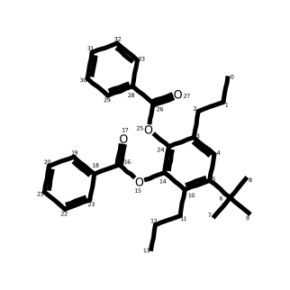 CCCc1cc(C(C)(C)C)c(CCC)c(OC(=O)c2ccccc2)c1OC(=O)c1ccccc1